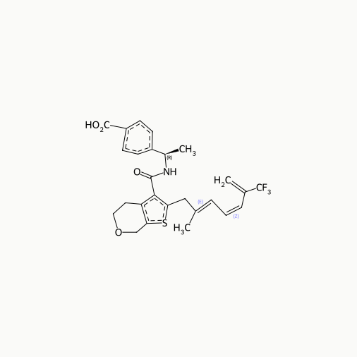 C=C(/C=C\C=C(/C)Cc1sc2c(c1C(=O)N[C@H](C)c1ccc(C(=O)O)cc1)CCOC2)C(F)(F)F